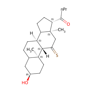 CCCC(=O)[C@H]1CCC2[C@@H]3CCC4C[C@H](O)CC[C@]4(C)[C@H]3C(=S)C[C@@]21C